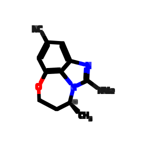 CNc1nc2cc(C#N)cc3c2n1[C@@H](C)CCO3